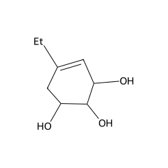 CCC1=CC(O)C(O)C(O)C1